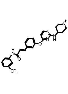 CN1CCC(Nc2nccc(Oc3cccc(/C=C/C(=O)Nc4cccc(C(F)(F)F)c4)c3)n2)CC1